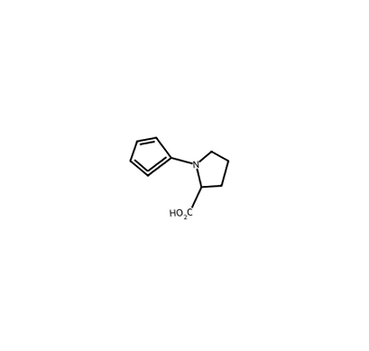 O=C(O)C1CCCN1C1=C=CC=C1